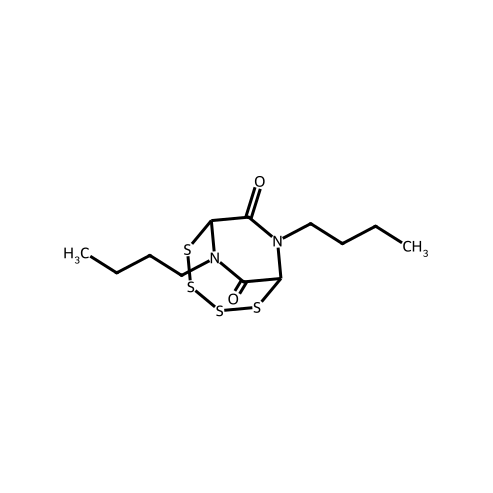 CCCCN1C(=O)C2SSSSC1C(=O)N2CCCC